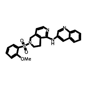 COc1ccccc1S(=O)(=O)N1CCc2c(ccnc2Nc2cnc3ccccc3c2)C1